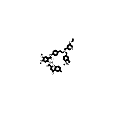 CCOc1cncc(CN(CCc2ccc(NC(=O)c3cc(OC)c(OC)cc3NC(=O)c3cc(=O)c4cc(C)ccc4o3)cc2)Cc2ccc3c(cnn3C)c2)c1